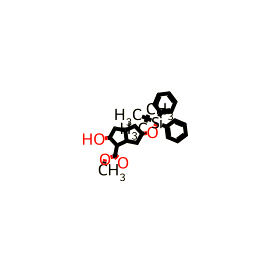 COC(=O)C1C(O)CC2CC(O[Si](c3ccccc3)(c3ccccc3)C(C)(C)C)CC21